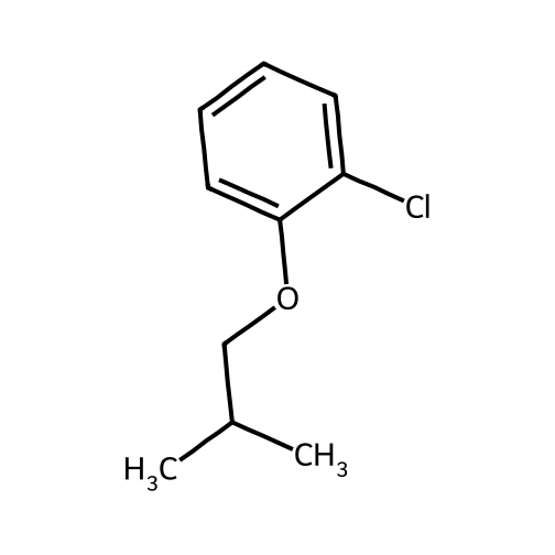 CC(C)COc1ccccc1Cl